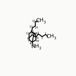 CCCCC12CC3CC(N)(C1)CC(CCCC)(C3)C2